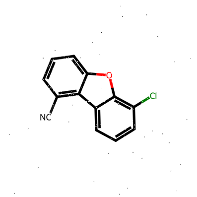 N#Cc1cccc2oc3c(Cl)cccc3c12